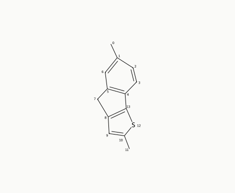 Cc1ccc2c(c1)Cc1cc(C)sc1-2